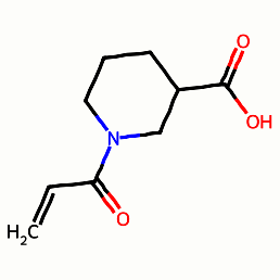 C=CC(=O)N1CCCC(C(=O)O)C1